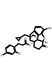 O=C(CCc1ccc(Cl)cc1Cl)O[C@@]12CCC(=O)[C@@H]3Oc4c(O)ccc5c4[C@@]31CCN(CC1CC1)C2C5